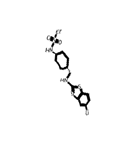 CCS(=O)(=O)N[C@H]1CC[C@H](CNc2nc3cc(Cl)ccc3s2)CC1